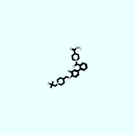 CC(C)(F)CN1CCC(COc2ccc(-c3ccccc3C(=O)N3CCC(C(N)=O)CC3)cc2F)CC1